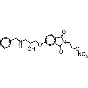 O=C1c2ccc(OCC(O)CNCc3ccccc3)cc2C(=O)N1CCO[N+](=O)[O-]